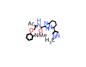 CNc1ccccc1OC[C@H](NC(=O)c1nc2n(n1)[C@H](c1cnn(C)c1)CCC2)C(C)=O